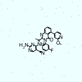 COc1cc(-c2cccc3nc([C@H](C)Nc4nc(N)ncc4C#N)n(-c4cccc(F)c4)c(=O)c23)ccn1